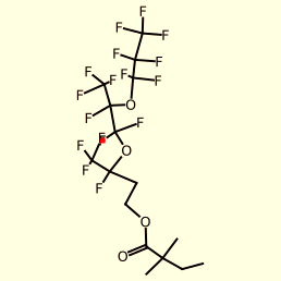 CCC(C)(C)C(=O)OCCC(F)(OC(F)(F)C(F)(OC(F)(F)C(F)(F)C(F)(F)F)C(F)(F)F)C(F)(F)F